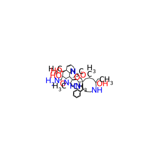 C/C=C1\C(=C/C[C@@]2(C(=O)OC)C[C@H](C)CC(O)(CC)CNCCc3c2[nH]c2ccccc32)[C@]23CCN4CC=C[C@](CC)(C42)[C@@H](O)[C@](O)(C(N)=O)C3N1C